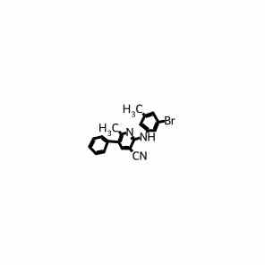 Cc1cc(Br)cc(Nc2nc(C)c(-c3ccccc3)cc2C#N)c1